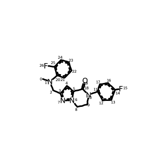 CN(Cc1cc2n(n1)CCN(c1ccc(F)cc1)C2=O)c1ccccc1F